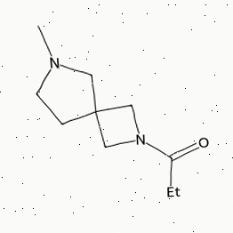 CCC(=O)N1CC2(CCN(C)C2)C1